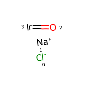 [Cl-].[Na+].[O]=[Ir]